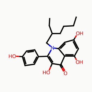 CCCCC(CC)Cn1c(-c2ccc(O)cc2)c(O)c(=O)c2c(O)cc(O)cc21